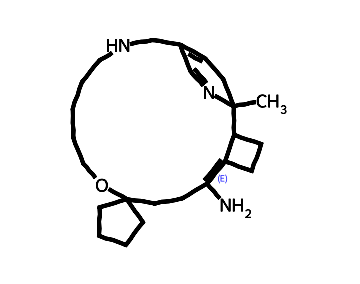 CC12CC=C(C=N1)CNCCCCCOC1(CCCC1)CC/C(N)=C1/CCC12